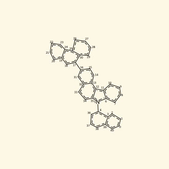 c1ccc2c(-n3c4ccccc4c4c5ccc(-c6cc7ccccc7c7ccccc67)cc5ccc43)cccc2c1